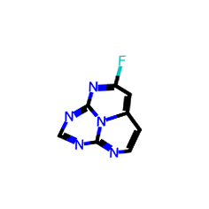 FC1=NC2=NC=NC3=NC=CC(=C1)N32